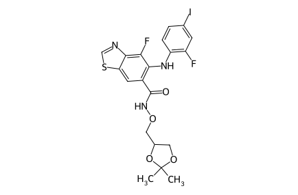 CC1(C)OCC(CONC(=O)c2cc3scnc3c(F)c2Nc2ccc(I)cc2F)O1